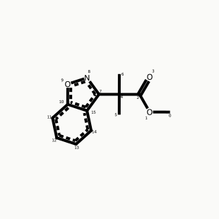 COC(=O)C(C)(C)c1noc2ccccc12